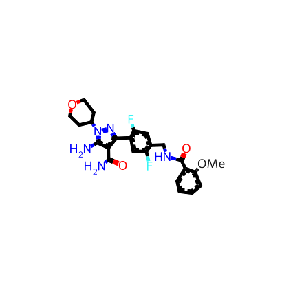 COc1ccccc1C(=O)NCc1cc(F)c(-c2nn(C3CCOCC3)c(N)c2C(N)=O)cc1F